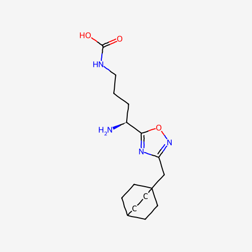 N[C@@H](CCCNC(=O)O)c1nc(CC23CCC(CC2)CC3)no1